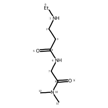 CCNCCC(=O)NCC(=O)N(C)C